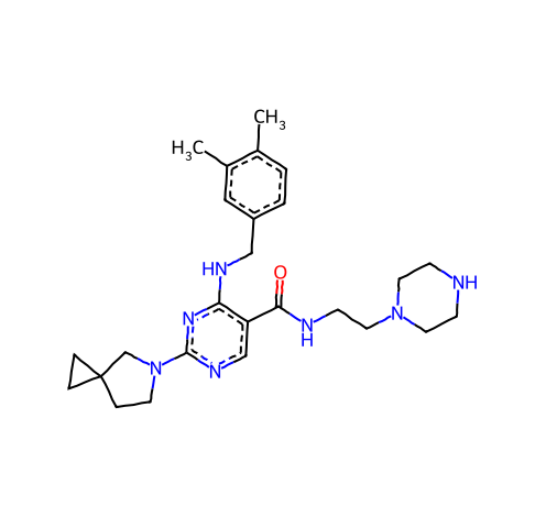 Cc1ccc(CNc2nc(N3CCC4(CC4)C3)ncc2C(=O)NCCN2CCNCC2)cc1C